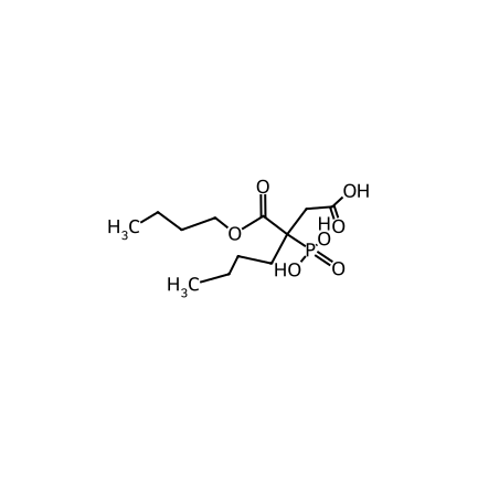 CCCCOC(=O)C(CCCC)(CC(=O)O)P(=O)(O)O